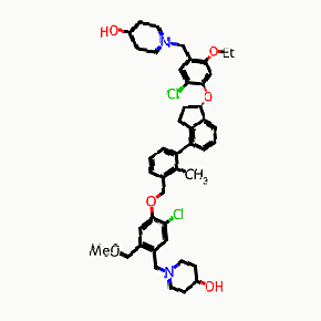 CCOc1cc(O[C@H]2CCc3c(-c4cccc(COc5cc(COC)c(CN6CCC(O)CC6)cc5Cl)c4C)cccc32)c(Cl)cc1CN1CCC(O)CC1